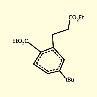 CCOC(=O)CCc1cc(C(C)(C)C)ccc1C(=O)OCC